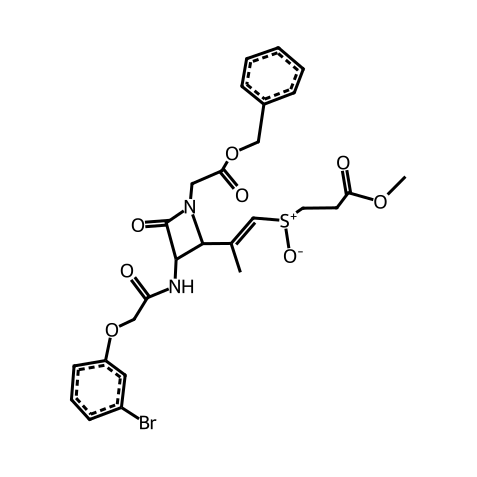 COC(=O)CC[S+]([O-])C=C(C)C1C(NC(=O)COc2cccc(Br)c2)C(=O)N1CC(=O)OCc1ccccc1